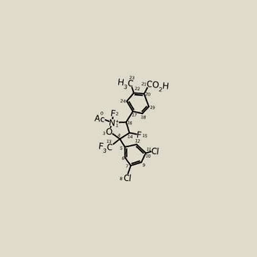 CC(=O)[N+]1(F)OC(c2cc(Cl)cc(Cl)c2)(C(F)(F)F)C(F)C1c1ccc(C(=O)O)c(C)c1